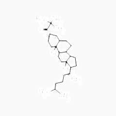 CC(C)CCC[C@@H](C)C1CCC2C3CCC4C[C@@H](C(=O)C(C)(C)C)CCC4(C)C3CCC21C